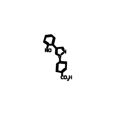 O=Nc1ccccc1-c1cnn(-c2ccc(C(=O)O)cc2)c1